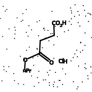 CCCOC(=O)CCC(=O)O.Cl